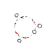 c1ccc(N2c3ccc(cc3)CCc3ccc(cc3)N(c3ccccc3)c3ccc(cc3)CCc3ccc(cc3)N(c3ccccc3)c3ccc(cc3)CCc3ccc2cc3)cc1